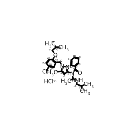 Cc1cc(N(C(=O)c2ccccc2)C(C)NCC(C)C)nn1Cc1cc(Cl)ccc1OCC(C)C.Cl